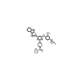 COc1ccc(Oc2cc(NCc3nc4ccccc4[nH]3)nc(N3CCN(C(=O)C4CCCO4)CC3)n2)c(Cl)c1